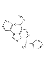 COC(=O)c1cnc(N(N)c2ccccc2)c2nnn(-c3ccccc3)c12